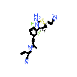 C=C/C(C#N)=C\N=C(/C)C#Cc1ccc(F)c([C@@]2(CF)N=C(N)S[C@@]3(/C=C/C#N)C[C@H]32)c1